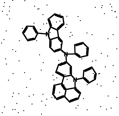 c1ccc(N(c2ccc3c(c2)N(c2ccccc2)c2cccc4cccc-3c24)c2ccc3c(c2)c2ccccc2n3-c2ccccc2)cc1